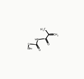 C=C(C)C(=O)NC(=O)OC(C)(C)C